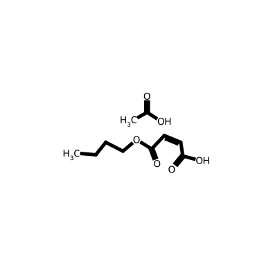 CC(=O)O.CCCCOC(=O)/C=C\C(=O)O